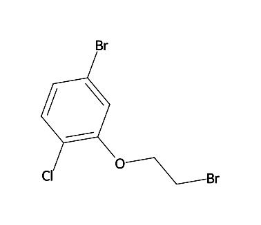 Clc1ccc(Br)cc1OCCBr